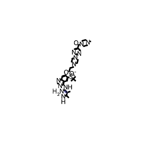 CC(=N)/C(C)=C(\N)Nc1ncnc2cc(OCCCN3CCN(c4ncc(C(=O)N5CCN(C)CC5)cn4)CC3)c([S+]([O-])C(C)(C)C)cc12